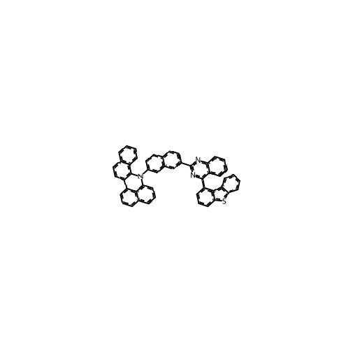 c1ccc2c3c(ccc2c1)-c1cccc2cccc(c12)N3c1ccc2ccc(-c3nc(-c4cccc5sc6ccccc6c45)c4ccccc4n3)cc2c1